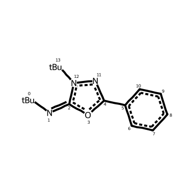 CC(C)(C)N=c1oc(-c2ccccc2)nn1C(C)(C)C